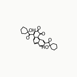 O=C1C=C(C(=O)C2(O)CCCCC2)c2ccc3ccc(C(=O)C4(O)CCCCC4)cc3c2C1=O